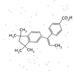 CC=C(c1ccc(C(=O)O)cc1)c1ccc2c(c1)C(C)(C)CC2(C)C